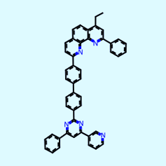 CCc1cc(-c2ccccc2)nc2c1ccc1ccc(-c3ccc(-c4ccc(-c5nc(-c6ccccc6)cc(-c6cccnc6)n5)cc4)cc3)nc12